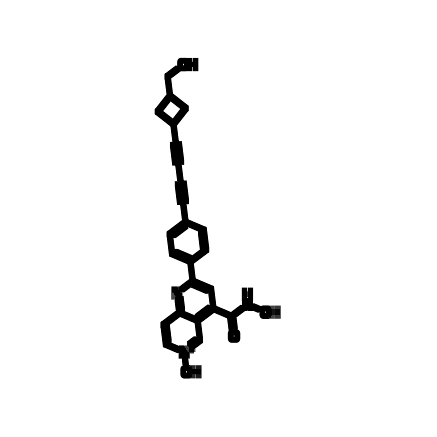 O=C(NO)c1cc(-c2ccc(C#CC#CC3CC(CO)C3)cc2)nc2cc[n+](O)cc12